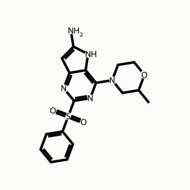 CC1CN(c2nc(S(=O)(=O)c3ccccc3)nc3cc(N)[nH]c23)CCO1